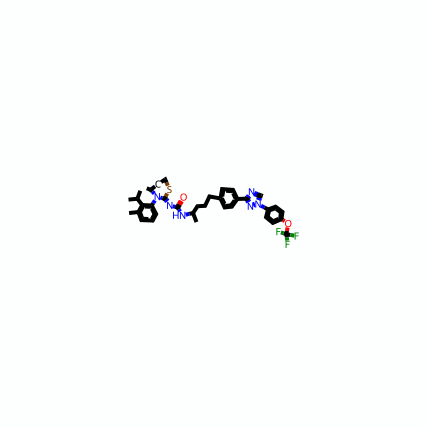 Cc1cccc(N2/C(=N/C(=O)NC(C)CCCc3ccc(-c4ncn(-c5ccc(OC(F)(F)F)cc5)n4)cc3)SCCC2C)c1C(C)C